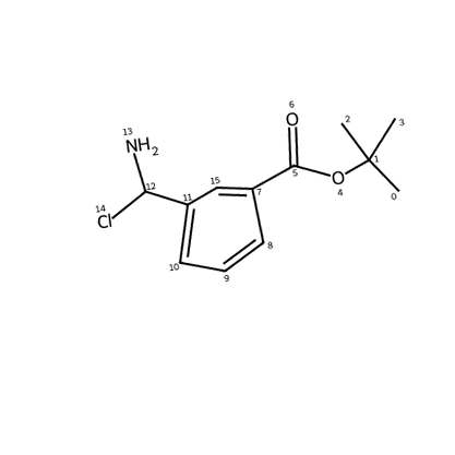 CC(C)(C)OC(=O)c1cccc(C(N)Cl)c1